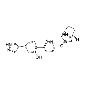 Oc1cc(-c2cn[nH]c2)ccc1-c1ccc(O[C@@H]2CC3CC[C@H](C2)N3)nn1